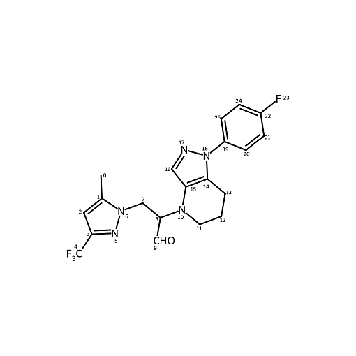 Cc1cc(C(F)(F)F)nn1CC(C=O)N1CCCc2c1cnn2-c1ccc(F)cc1